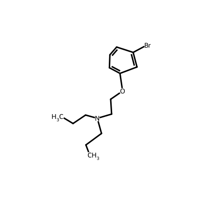 CCCN(CCC)CCOc1cccc(Br)c1